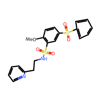 COc1ccc(S(=O)(=O)c2ccccc2)cc1S(=O)(=O)NCCc1ccccn1